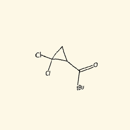 CC(C)(C)C(=O)C1CC1(Cl)Cl